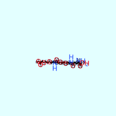 COC(=O)COCCOCCNC(=O)COCCOCCNC(=O)CCC(N)C(=O)O